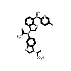 CCCN(c1ccc(F)cn1)c1cccc2c1OC[C@H]2N(C(=O)C(F)(F)F)c1ccc2c(c1)OC[C@H]2C(C)C(=O)O